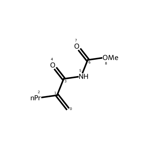 C=C(CCC)C(=O)NC(=O)OC